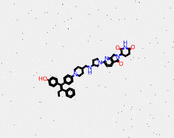 CCC(=C(c1ccc(O)cc1)c1ccc(N2CCC(CNC3CCN(c4ccc5c(n4)CN(C4CCC(=O)NC4=O)C5=O)C3)CC2)cc1)c1ccccc1